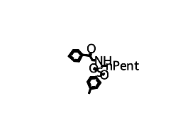 CCCCCC(NCC(=O)c1ccccc1)S(=O)(=O)c1ccc(C)cc1